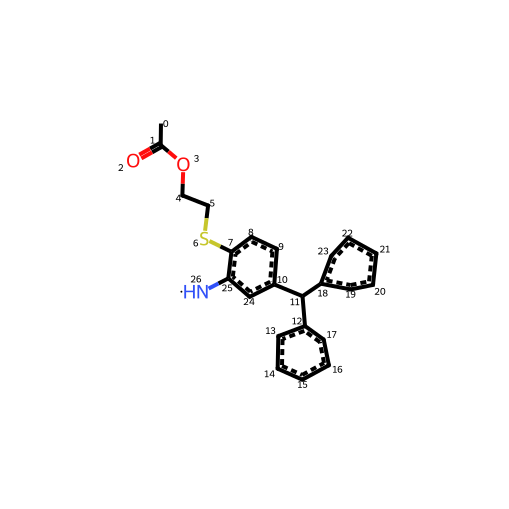 CC(=O)OCCSc1ccc(C(c2ccccc2)c2ccccc2)cc1[NH]